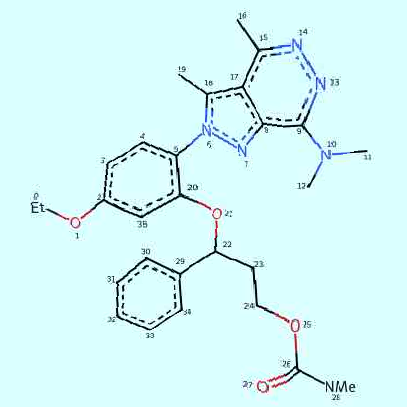 CCOc1ccc(-n2nc3c(N(C)C)nnc(C)c3c2C)c(OC(CCOC(=O)NC)c2ccccc2)c1